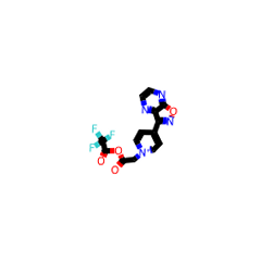 O=C(C[n+]1ccc(-c2noc3nccnc23)cc1)OC(=O)C(F)(F)F